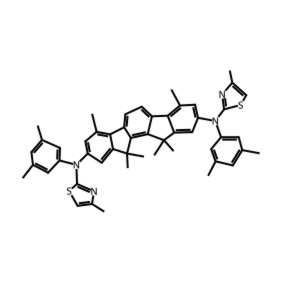 Cc1cc(C)cc(N(c2cc(C)c3c(c2)C(C)(C)c2c-3ccc3c2C(C)(C)c2cc(N(c4cc(C)cc(C)c4)c4nc(C)cs4)cc(C)c2-3)c2nc(C)cs2)c1